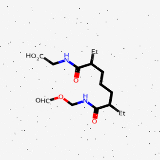 CCC(CCCC(CC)C(=O)NCC(=O)O)C(=O)NCOC=O